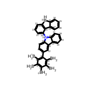 Bc1c(B)c(B)c(-c2ccc3c(c2)c2ccccc2n3-c2cccc3c2-c2ccccc2B3)c(B)c1B